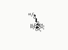 [CH2]COCCO[Si](C)(C)C(C)(C)C